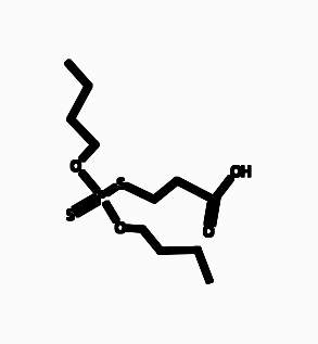 CCCCOP(=S)(OCCCC)SCCC(=O)O